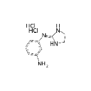 Cl.Cl.Nc1cccc(N=C2NCCN2)c1